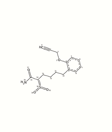 C#CCOc1ccccc1CCCCC(C(N)=O)=S(=O)=O